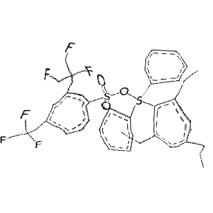 CCc1cc(CC)c(S(OS(=O)(=O)c2ccc(C(F)(F)F)cc2C(F)(F)F)(c2ccccc2)c2ccccc2)c(CC)c1